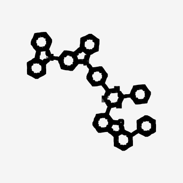 c1ccc(-c2nc(-c3ccc(-n4c5ccccc5c5cc(-n6c7ccccc7c7ccccc76)ccc54)cc3)nc(-c3cccc4c3oc3c(-c5ccccc5)cccc34)n2)cc1